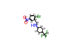 O=[N+]([O-])c1ccc(Br)c(CNC2CCC(C(F)(F)F)CC2)c1